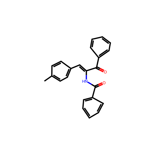 Cc1ccc(C=C(NC(=O)c2ccccc2)C(=O)c2ccccc2)cc1